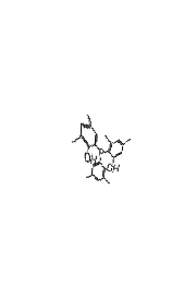 Cc1cc(C)c(P(c2cc(C)cc(C)c2O)c2cc(C)cc(C)c2O)c(C)c1